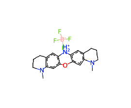 CN1CCCc2cc3c(cc21)Oc1cc2c(cc1[NH2+]3)CCCN2C.F[B-](F)(F)F